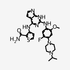 COc1cc(N2CCN(C(C)C)CC2)c(F)cc1Nc1nc(Nc2ccsc2C(N)=O)c2ccnc-2[nH]1